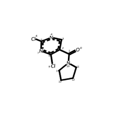 O=C(c1cnc(Cl)nc1Cl)N1CCCC1